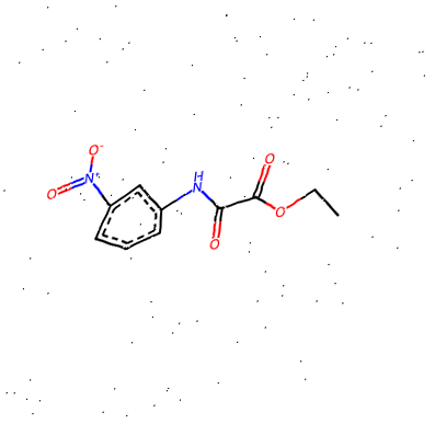 CCOC(=O)C(=O)Nc1cccc([N+](=O)[O-])c1